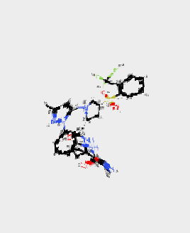 CC(=O)Nc1cccc(-n2nc(C)cc2N2C[C@H](S(=O)(=O)c3ccccc3C(F)(F)F)C[C@@H]2C(=O)NC2(C#N)CC2)c1